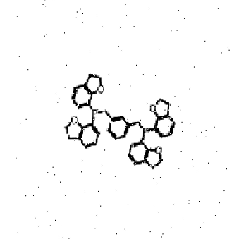 c1cc(CP(c2cccc3c2OCC3)c2cccc3c2OCC3)cc(CP(c2cccc3c2OCC3)c2cccc3c2OCC3)c1